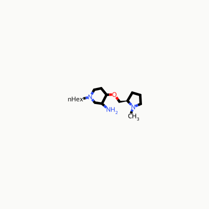 CCCCCCN1CCC(OC[C@H]2CCCN2C)C(N)C1